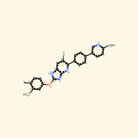 COc1ccc(-c2ccc(-c3nc4nc(Oc5ccc(C)c(C(=O)O)c5)[nH]c4cc3Cl)cc2)cn1